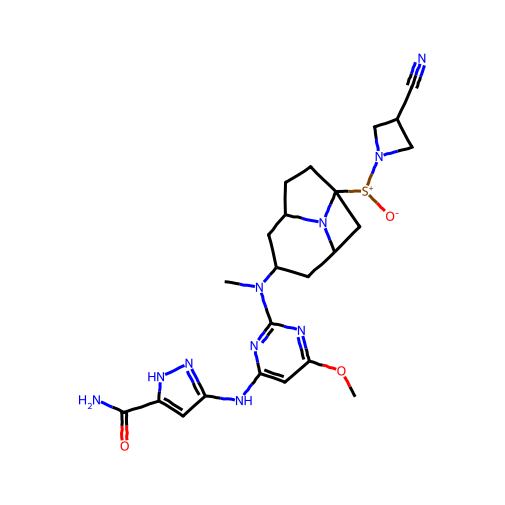 COc1cc(Nc2cc(C(N)=O)[nH]n2)nc(N(C)C2CC3CCC4([S+]([O-])N5CC(C#N)C5)CC(C2)N34)n1